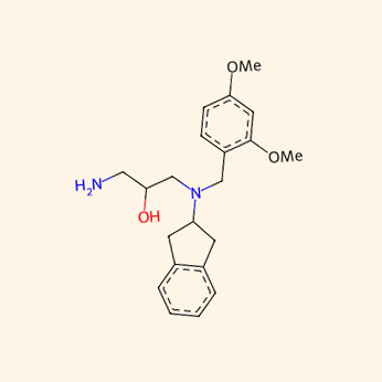 COc1ccc(CN(CC(O)CN)C2Cc3ccccc3C2)c(OC)c1